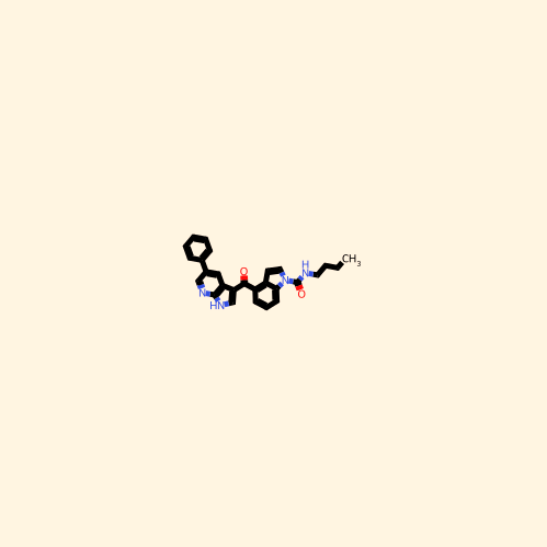 CCCCNC(=O)n1ccc2c(C(=O)c3c[nH]c4ncc(-c5ccccc5)cc34)cccc21